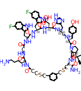 C#CC(C)(C)[C@H]1CCN2C(=O)[C@H](Cc3ccc(O)cc3)NC[C@H](Cc3c[nH]cn3)NC(=O)[C@H](CC(=O)O)NC(=O)[C@H](Cc3c[nH]c4ccc(F)cc34)NC(=O)[C@H](Cc3c[nH]c4ccc(F)cc34)NC(=O)CNC(=O)[C@H](CCCCN)NC(=O)CCSCc3cccc(c3)CSC[C@@H](C(N)=O)NC(=O)[C@H]12